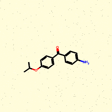 CC(C)Oc1ccc(C(=O)c2ccc(N)cc2)cc1